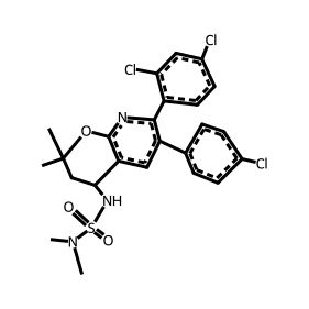 CN(C)S(=O)(=O)NC1CC(C)(C)Oc2nc(-c3ccc(Cl)cc3Cl)c(-c3ccc(Cl)cc3)cc21